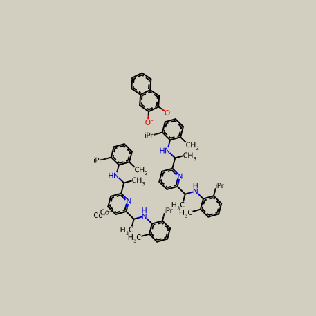 Cc1cccc(C(C)C)c1NC(C)c1cccc(C(C)Nc2c(C)cccc2C(C)C)n1.Cc1cccc(C(C)C)c1NC(C)c1cccc(C(C)Nc2c(C)cccc2C(C)C)n1.[Co+].[Co+].[O-]c1cc2ccccc2cc1[O-]